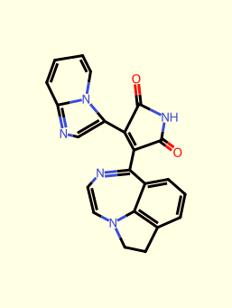 O=C1NC(=O)C(c2cnc3ccccn23)=C1C1=NC=CN2CCc3cccc1c32